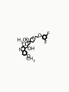 COC(=O)C1(CCC(O)c2c(Cl)cnc3ccc(OC)cc23)CCN(CCOc2cc(F)cc(F)c2)CC1